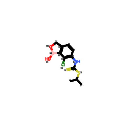 CC(C)SC(=S)Nc1ccc2c(c1Cl)B(O)OC2